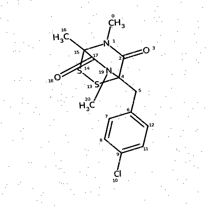 CN1C(=O)C2(Cc3ccc(Cl)cc3)SSC1(C)C(=O)N2C